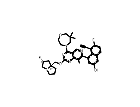 C#Cc1c(F)ccc2cc(O)cc(-c3ncc4c(N5CCOCC(C)(C)C5)nc(OC[C@@]56CCCN5C[C@H](F)C6)nc4c3F)c12